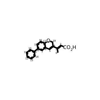 CC(=CC(=O)O)C1=Cc2cc(-c3ccccc3)ccc2OC1